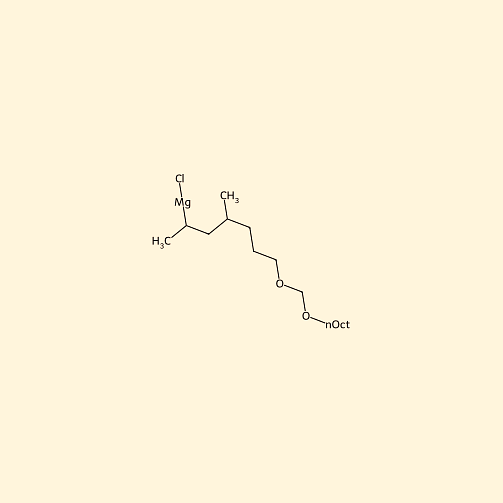 CCCCCCCCOCOCCCC(C)C[CH](C)[Mg][Cl]